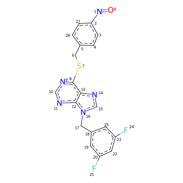 O=Nc1ccc(CSc2ncnc3c2ncn3Cc2cc(F)cc(F)c2)cc1